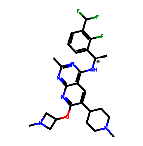 Cc1nc(N[C@H](C)c2cccc(C(F)F)c2F)c2cc(C3CCN(C)CC3)c(OC3CN(C)C3)nc2n1